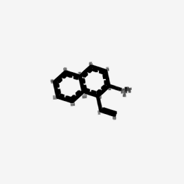 C=Cc1c(CCC)ccc2ccccc12